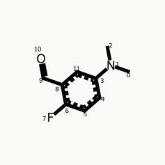 CN(C)c1ccc(F)c(C=O)c1